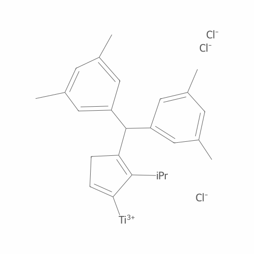 Cc1cc(C)cc(C(C2=C(C(C)C)[C]([Ti+3])=CC2)c2cc(C)cc(C)c2)c1.[Cl-].[Cl-].[Cl-]